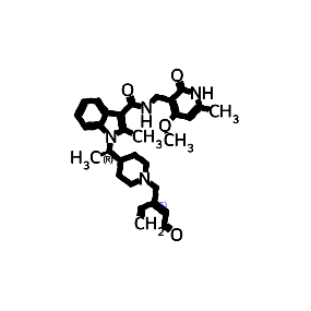 C=C/C(=C\C=O)CN1CCC([C@@H](C)n2c(C)c(C(=O)NCc3c(OC)cc(C)[nH]c3=O)c3ccccc32)CC1